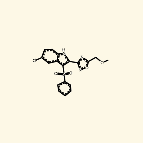 COCc1nc(-c2[nH]c3ccc(Cl)cc3c2S(=O)(=O)c2ccccc2)no1